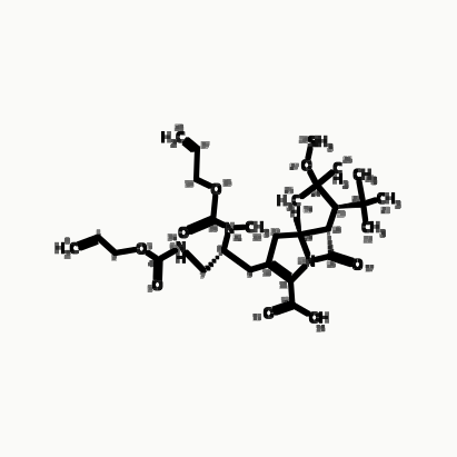 C=CCOC(=O)NC[C@@H](CC1=C(C(=O)O)N2C(=O)[C@@H]([C@H](C(C)(C)C)C(C)(C)O[SiH3])[C@H]2C1)N(C)C(=O)OCC=C